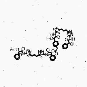 CC(=O)OC(C(=O)Nc1nnc(CCCc2nnc(NC(=O)C(OC(=O)Cc3ccc(C(O)C(=O)Nc4nnc(CCCc5nnc(NC(=O)C(O)c6ccccc6)s5)s4)cc3)c3ccccc3)s2)s1)c1ccccc1